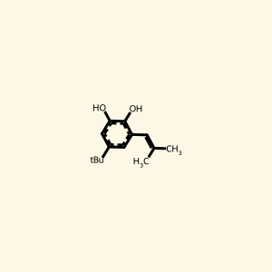 CC(C)=Cc1cc(C(C)(C)C)cc(O)c1O